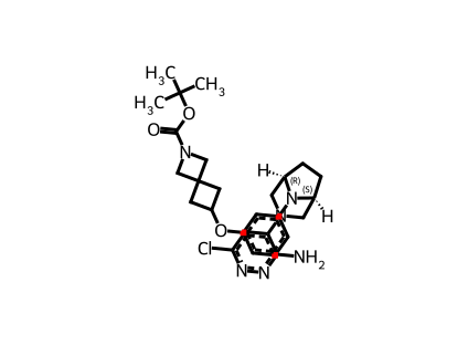 CC(C)(C)OC(=O)N1CC2(CC(Oc3cccc(N4[C@@H]5CC[C@H]4CN(c4cc(Cl)nnc4N)C5)c3)C2)C1